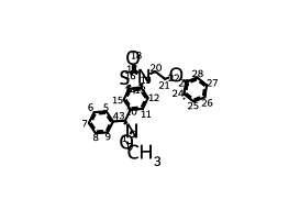 CON=C(c1ccccc1)c1ccc2c(c1)sc(=O)n2CCOc1[c]cccc1